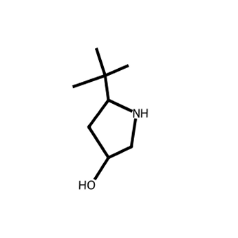 CC(C)(C)C1CC(O)CN1